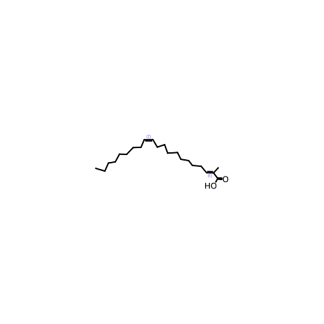 CCCCCCCC/C=C\CCCCCCCC/C=C(\C)C(=O)O